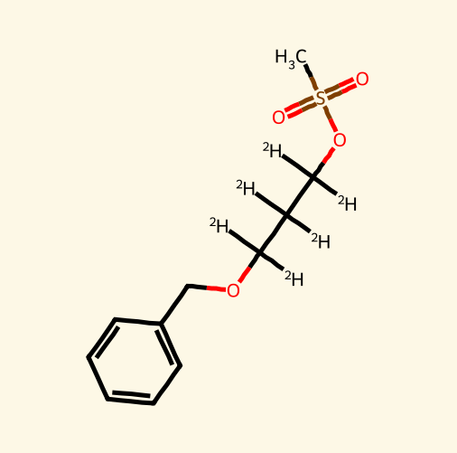 [2H]C([2H])(OCc1ccccc1)C([2H])([2H])C([2H])([2H])OS(C)(=O)=O